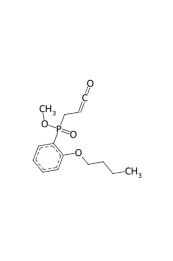 CCCCOc1ccccc1P(=O)(CC=C=O)OC